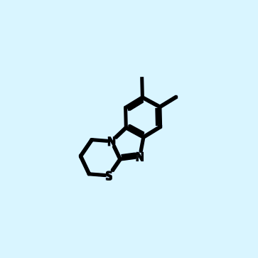 Cc1cc2nc3n(c2cc1C)CCCS3